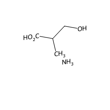 CC(CO)C(=O)O.N